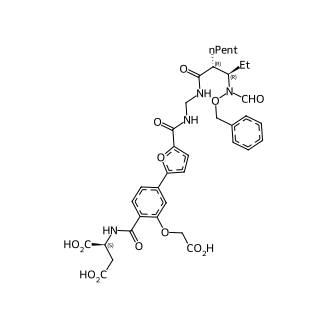 CCCCC[C@@H](C(=O)NCNC(=O)c1ccc(-c2ccc(C(=O)N[C@@H](CC(=O)O)C(=O)O)c(OCC(=O)O)c2)o1)[C@@H](CC)N(C=O)OCc1ccccc1